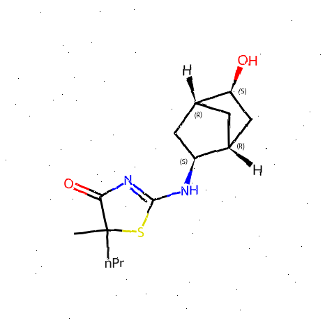 CCCC1(C)SC(N[C@H]2C[C@H]3C[C@@H]2C[C@@H]3O)=NC1=O